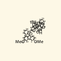 COc1ccc(C(OC[C@H]2[CH][C@@H](O[Si](C)(C)C(C)(C)C)[C@H](n3cc(-c4ccccn4)c(=O)[nH]c3=O)O2)(c2ccccc2)c2ccc(OC)cc2)cc1